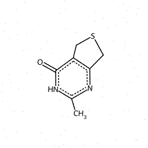 Cc1nc2c(c(=O)[nH]1)CSC2